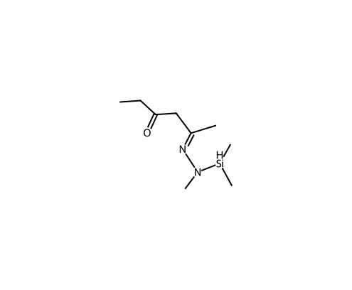 CCC(=O)CC(C)=NN(C)[SiH](C)C